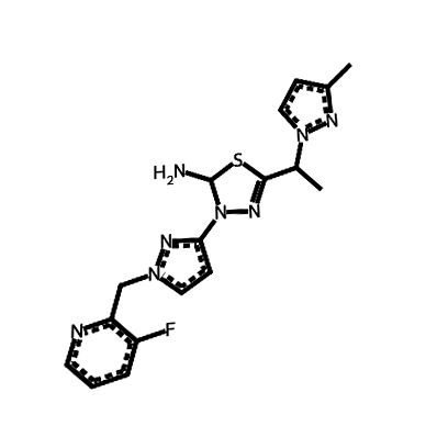 Cc1ccn(C(C)C2=NN(c3ccn(Cc4ncccc4F)n3)C(N)S2)n1